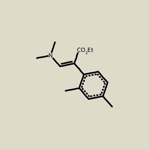 CCOC(=O)C(=CN(C)C)c1ccc(C)cc1C